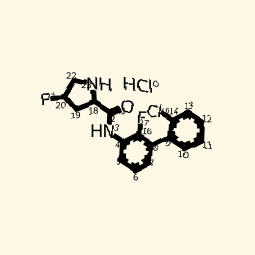 Cl.O=C(Nc1cccc(-c2ccccc2Cl)c1F)C1CC(F)CN1